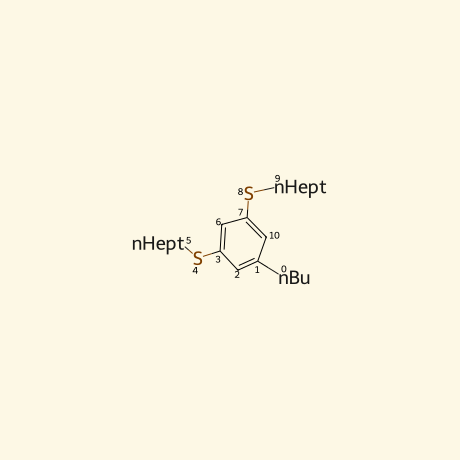 [CH2]CCCc1cc(SCCCCCCC)cc(SCCCCCCC)c1